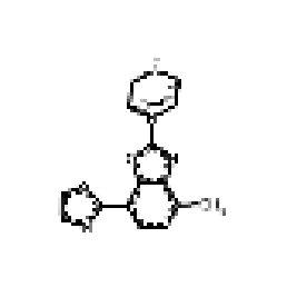 Cc1ccc(-c2nccs2)c2oc(N3CC4CCCC3CN4)nc12